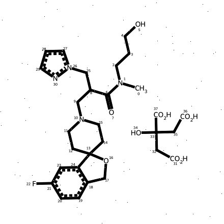 CN(CCCO)C(=O)C(CN1CCC2(CC1)OCc1ccc(F)cc12)Cn1cccn1.O=C(O)CC(O)(CC(=O)O)C(=O)O